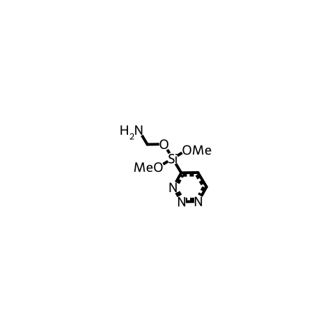 CO[Si](OC)(OCN)c1ccnnn1